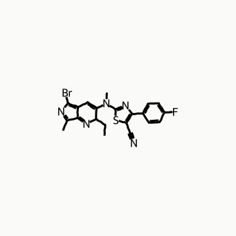 CCC1N=C2C(C)=NC(Br)=C2C=C1N(C)c1nc(-c2ccc(F)cc2)c(C#N)s1